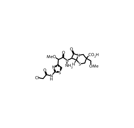 COCC1(C(=O)O)CS[C@@H]2C(N(N)C(=O)C(OC)c3csc(NC(=O)CCl)n3)C(=O)N2C1